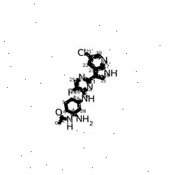 CC(=O)NC1(N)CCCC(Nc2nc(-c3c[nH]c4ncc(Cl)cc34)ncc2F)C1